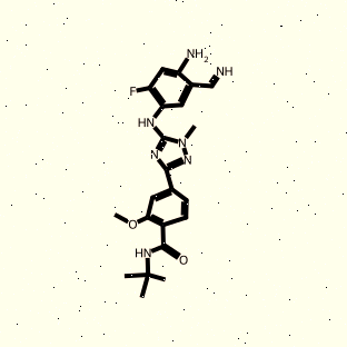 COc1cc(-c2nc(Nc3cc(C=N)c(N)cc3F)n(C)n2)ccc1C(=O)NC(C)(C)C